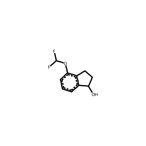 OC1CCc2c(OC(F)F)cccc21